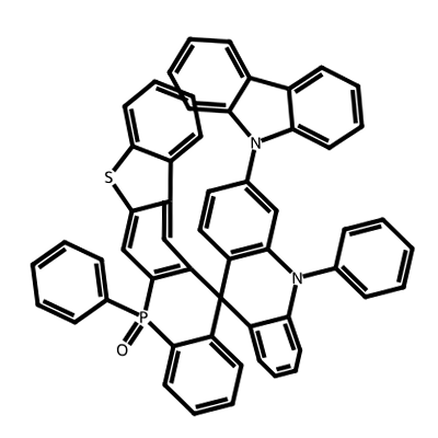 O=P1(c2ccccc2)c2ccccc2C2(c3ccccc3N(c3ccccc3)c3cc(-n4c5ccccc5c5ccccc54)ccc32)c2cc3c(cc21)sc1ccccc13